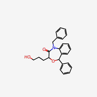 O=C1C(CCCO)OC(c2ccccc2)c2ccccc2N1Cc1ccccc1